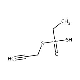 C#CCSP(=O)(S)CC